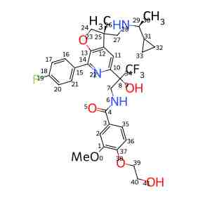 COc1cc(C(=O)NCC(O)(c2cc3c(c(-c4ccc(F)cc4)n2)OC[C@]3(C)CN[C@@H](C)C2CC2)C(F)(F)F)ccc1OCCO